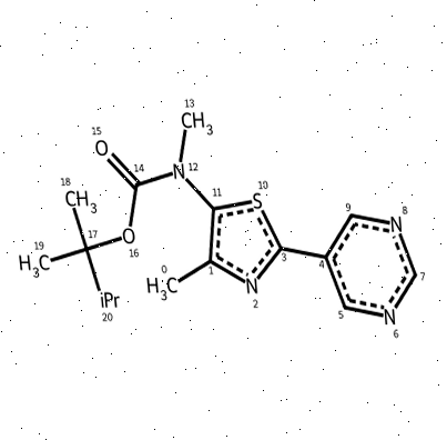 Cc1nc(-c2cncnc2)sc1N(C)C(=O)OC(C)(C)C(C)C